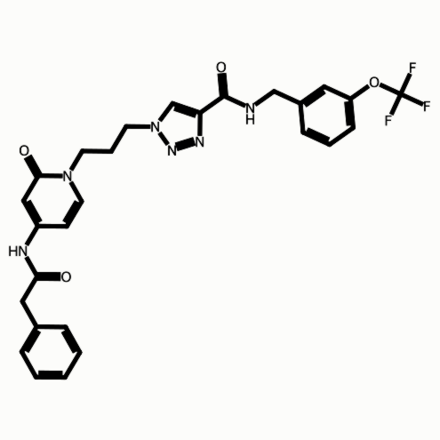 O=C(Cc1ccccc1)Nc1ccn(CCCn2cc(C(=O)NCc3cccc(OC(F)(F)F)c3)nn2)c(=O)c1